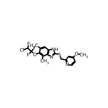 COc1ccnc(CSc2nc3c(C)c(OC(F)(F)C(F)Cl)c(C)cc3[nH]2)c1